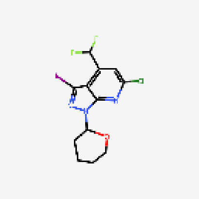 FC(F)c1cc(Cl)nc2c1c(I)nn2C1CCCCO1